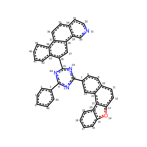 c1ccc(-c2nc(-c3ccc4ccc5oc6ccccc6c5c4c3)nc(-c3cc4c5cnccc5ccc4c4ccccc34)n2)cc1